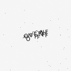 CC(C)(C)OC(=O)N1CC2(CC(Cc3cn(CC(F)(F)F)nc3C(F)(F)F)C2)C1